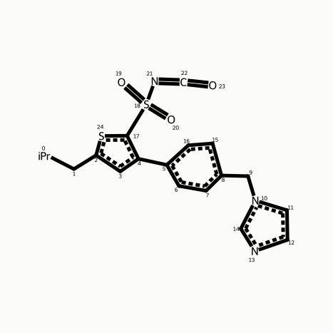 CC(C)Cc1cc(-c2ccc(Cn3ccnc3)cc2)c(S(=O)(=O)N=C=O)s1